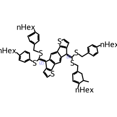 CCCCCCC1=CC=C(CS/C(SCc2ccc(CCCCCC)cc2)=C2\c3cc4c(cc3-c3sccc32)/C(=C(\SCc2ccc(CCCCCC)cc2)Sc2ccc(CCCCCC)cc2)c2ccsc2-4)CC1C